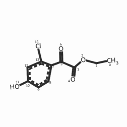 CCOC(=O)C(=O)c1ccc(O)cc1Cl